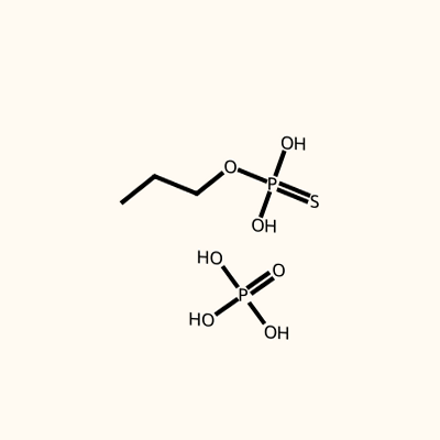 CCCOP(O)(O)=S.O=P(O)(O)O